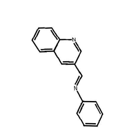 C(=Nc1ccccc1)c1cnc2ccccc2c1